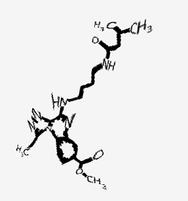 COC(=O)c1ccc2c(c1)nc(NCCCCNC(=O)CC(C)C)c1nnc(C)n12